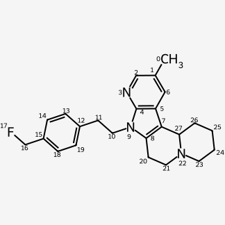 Cc1cnc2c(c1)c1c(n2CCc2ccc(CF)cc2)CCN2CCCCC12